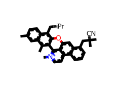 Cc1ccc2c(CC(C)C)c3c(c(C)c2c1)-c1c2c(cc4c(CC(C)(C)C#N)cccc4c2cc[n+]1C)O3